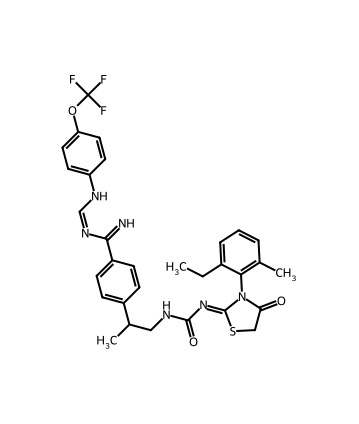 CCc1cccc(C)c1N1C(=O)CS/C1=N\C(=O)NCC(C)c1ccc(C(=N)/N=C\Nc2ccc(OC(F)(F)F)cc2)cc1